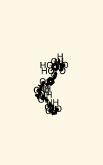 CC(C)[C@H](NC(=O)CCNC(=O)CN1C(=O)CCC1=O)C(=O)N[C@@H](C)C(=O)Nc1ccc(COC[C@@H]2[C@@H](O)[C@H](O)[C@H](O)[C@H]3NC(=O)C(=O)N23)cc1